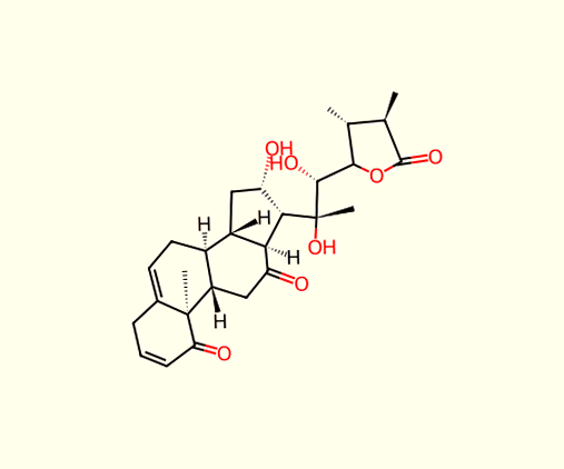 C[C@H]1C(=O)OC([C@@H](O)[C@](C)(O)[C@@H]2[C@H]3C(=O)C[C@H]4[C@@H](CC=C5CC=CC(=O)[C@@]54C)[C@@H]3C[C@@H]2O)[C@@H]1C